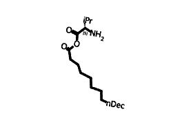 CCCCCCCCCCCCCCCCCC(=O)OC(=O)[C@@H](N)C(C)C